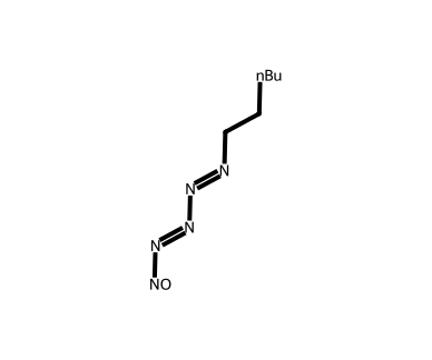 CCCCCCN=NN=NN=O